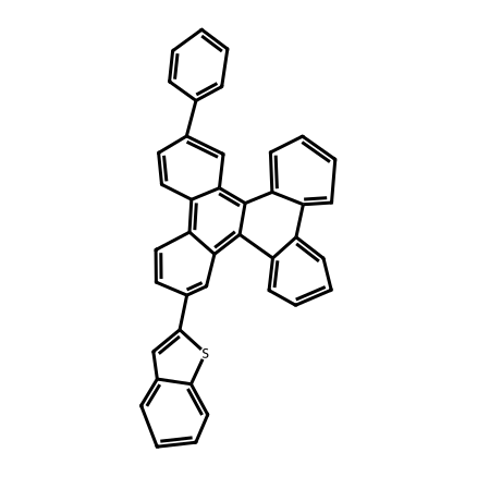 c1ccc(-c2ccc3c4ccc(-c5cc6ccccc6s5)cc4c4c5ccccc5c5ccccc5c4c3c2)cc1